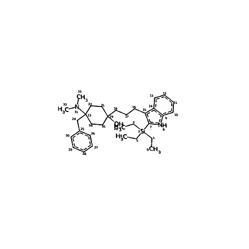 CC[Si](CC)(CC)c1[nH]c2ccccc2c1CCCC1(O)CCC(Cc2ccccc2)(N(C)C)CC1